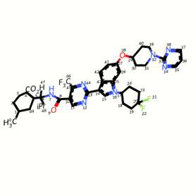 CC1CCCC(C(NC(=O)c2cnc(-c3cn(C4CCC(F)(F)CC4)c4cc(OC5CCN(c6ncccn6)CC5)ccc34)nc2C(F)(F)F)(C(=O)O)C(C)C)C1